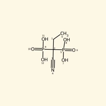 CCC(C#N)(P(=O)(O)O)P(=O)(O)O